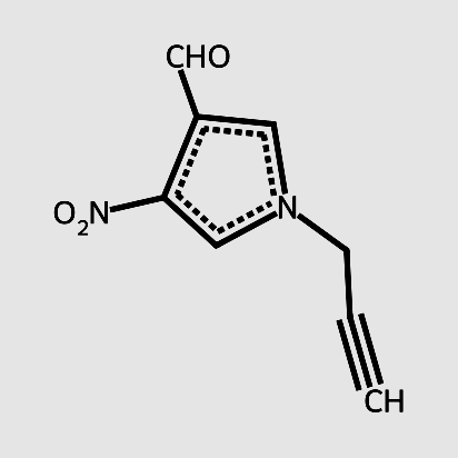 C#CCn1cc(C=O)c([N+](=O)[O-])c1